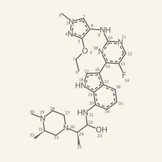 CCOc1nn(C)cc1Nc1ncc(F)c(-c2c[nH]c3c(NC(O)[C@@H](C)N4CCN(C)[C@H](C)C4)cccc23)n1